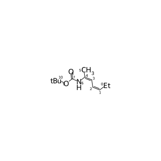 CC/C=C\C=C(\C)NC(=O)OC(C)(C)C